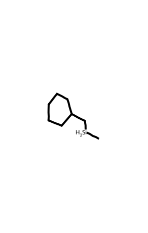 C[SiH2]CC1CCCCC1